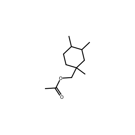 CC(=O)OCC1(C)CCC(C)C(C)C1